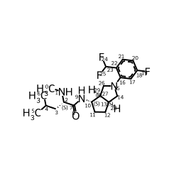 CN[C@@H](CC(C)C)C(=O)N[C@H]1CC[C@@H]2CN(c3cc(F)ccc3C(F)F)C[C@@H]21